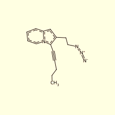 CCCC#Cc1c(CCN=[N+]=[N-])cc2ccccn12